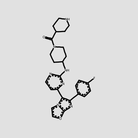 O=C(C1CCNCC1)N1CCC(Nc2nccc(-c3c(-c4ccc(F)cc4)nc4occn34)n2)CC1